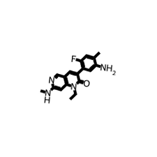 CCn1c(=O)c(-c2cc(N)c(C)cc2F)cc2cnc(NC)cc21